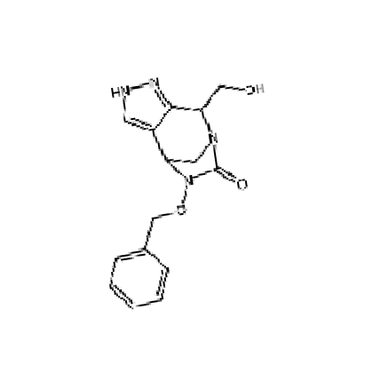 O=C1N2CC(c3c[nH]nc3C2CO)N1OCc1ccccc1